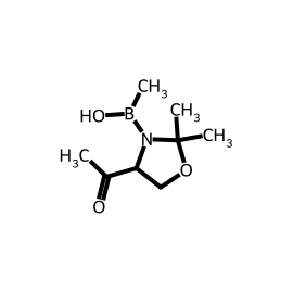 CB(O)N1C(C(C)=O)COC1(C)C